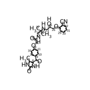 Cc1[nH]c(=O)[nH]c1C(=O)c1ccc(OCC(=O)NCC(C)(C)NC[C@H](O)COc2ccccc2C#N)cc1